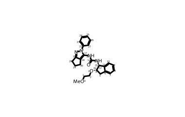 COCCO[C@H]1Cc2ccccc2[C@@H]1NC(=O)Nc1c2c(nn1-c1ccccc1)CCC2